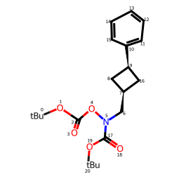 CC(C)(C)OC(=O)ON(C[C@H]1C[C@@H](c2ccccc2)C1)C(=O)OC(C)(C)C